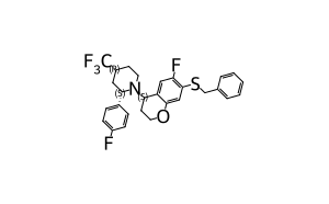 Fc1ccc([C@@H]2C[C@H](C(F)(F)F)CCN2[C@H]2CCOc3cc(SCc4ccccc4)c(F)cc32)cc1